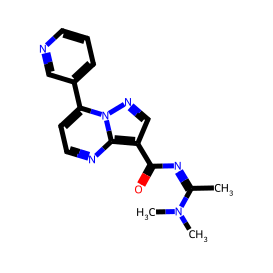 CC(=NC(=O)c1cnn2c(-c3cccnc3)ccnc12)N(C)C